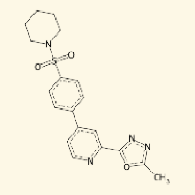 Cc1nnc(-c2cc(-c3ccc(S(=O)(=O)N4CCCCC4)cc3)ccn2)o1